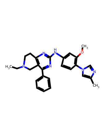 CCN1CCc2nc(Nc3ccc(-n4cnc(C)c4)c(OC)c3)nc(-c3ccccc3)c2C1